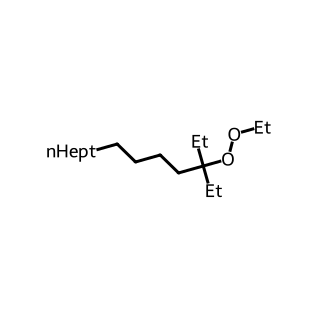 CCCCCCCCCCCC(CC)(CC)OOCC